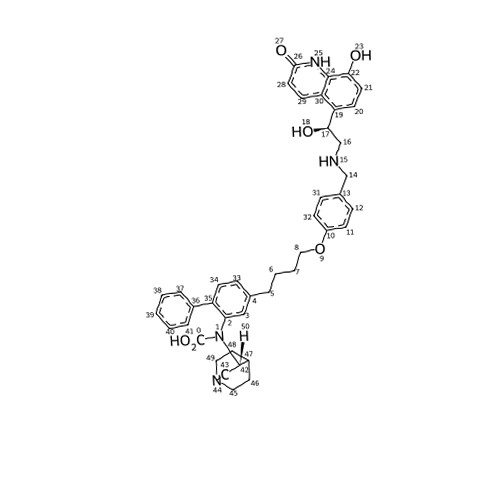 O=C(O)N(c1cc(CCCCOc2ccc(CNC[C@@H](O)c3ccc(O)c4[nH]c(=O)ccc34)cc2)ccc1-c1ccccc1)[C@H]1CN2CCC1CC2